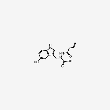 C=CCC(=O)N[C@@H](Cc1c[nH]c2ccc(O)cc12)C(=O)O